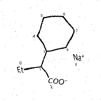 CCC(C(=O)[O-])C1CCCCC1.[Na+]